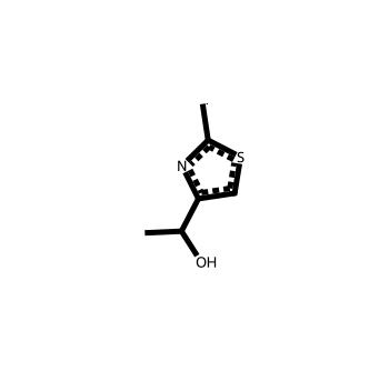 [CH2]c1nc(C(C)O)cs1